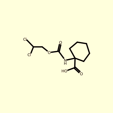 O=C(NC1(C(=O)O)CCCCC1)OCC(Cl)Cl